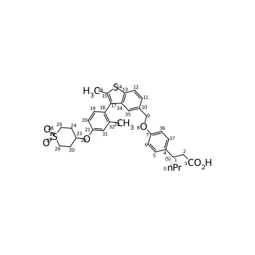 CCC[C@@H](CC(=O)O)c1ccc(OCc2ccc3sc(C)c(-c4ccc(OC5CCS(=O)(=O)CC5)cc4C)c3c2)cc1